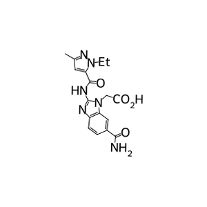 CCn1nc(C)cc1C(=O)Nc1nc2ccc(C(N)=O)cc2n1CC(=O)O